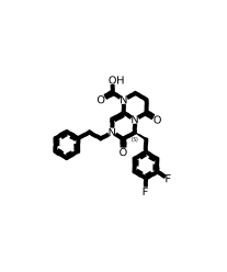 O=C1[C@H](Cc2ccc(F)c(F)c2)N2C(=O)CCN(C(=O)O)C2=CN1CCc1ccccc1